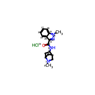 CN1CC2CC1CC2NC(=O)c1nn(C)c2ccccc12.Cl